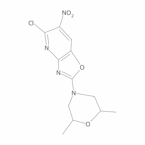 CC1CN(c2nc3nc(Cl)c([N+](=O)[O-])cc3o2)CC(C)O1